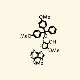 CNc1ncnc2c1ncn2[C@@H]1O[C@H](COC(c2ccccc2)(c2ccc(OC)cc2)c2ccc(OC)cc2)[C@@H](O)[C@H]1OC